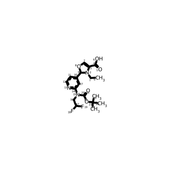 CCN1C(C(=O)O)=COC1c1ccnc(N(CC(F)F)C(=O)OC(C)(C)C)c1